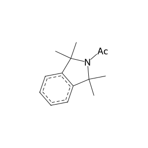 CC(=O)N1C(C)(C)c2ccccc2C1(C)C